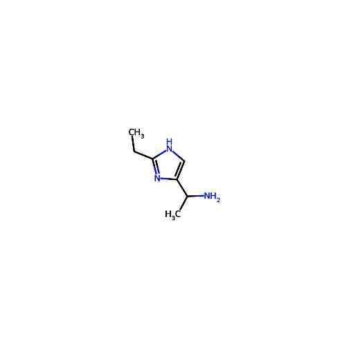 CCc1nc(C(C)N)c[nH]1